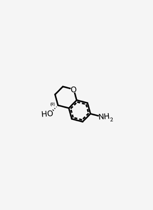 Nc1ccc2c(c1)OCC[C@H]2O